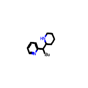 CCC(C)C(c1ccccn1)C1CCCCN1